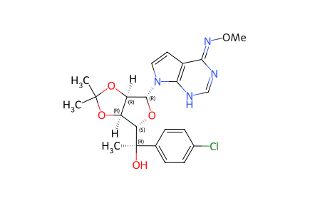 CON=c1nc[nH]c2c1ccn2[C@@H]1O[C@H]([C@](C)(O)c2ccc(Cl)cc2)[C@H]2OC(C)(C)O[C@H]21